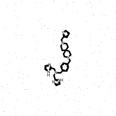 c1csc(CN2CCC3(CCN(Cc4ccc(CN(Cc5ncc[nH]5)Cc5ncc[nH]5)cc4)CC3)CC2)c1